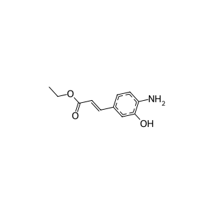 CCOC(=O)C=Cc1ccc(N)c(O)c1